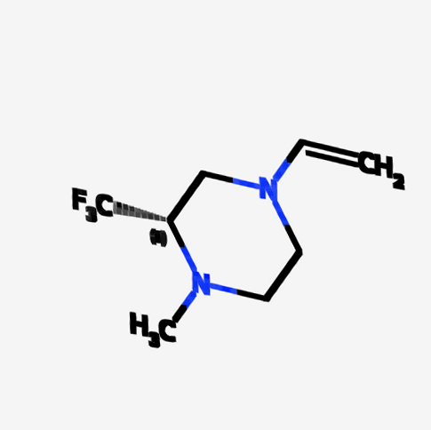 C=CN1CCN(C)[C@H](C(F)(F)F)C1